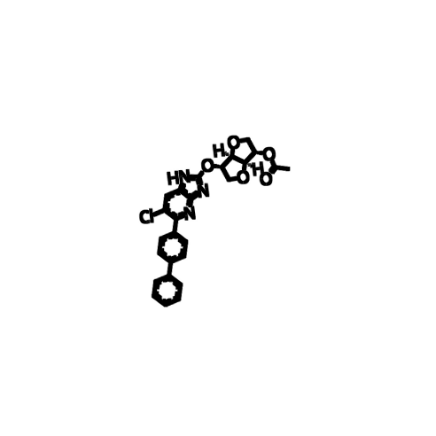 CC(=O)O[C@@H]1CO[C@H]2[C@@H]1OC[C@H]2Oc1nc2nc(-c3ccc(-c4ccccc4)cc3)c(Cl)cc2[nH]1